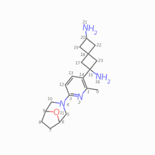 Cc1nc(N2CC3CCC(C2)O3)ccc1C1(N)CC2(CC(N)C2)C1